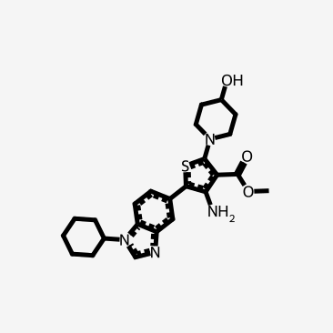 COC(=O)c1c(N2CCC(O)CC2)sc(-c2ccc3c(c2)ncn3C2CCCCC2)c1N